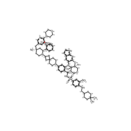 COc1cc(C[C@]2(C#N)CCN(C3CC4(CCN(c5ccc(C(=O)NS(=O)(=O)c6ccc(NCC7CCC(C)(O)CC7)c([N+](=O)[O-])c6)c(N6c7cc8cc[nH]c8nc7O[C@H]7COCC[C@@H]76)c5)CC4)C3)[C@H](c3ccccc3C)C2)cnc1N1CCOCC1